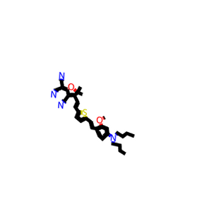 CCCCN(CCCC)c1ccc(C=Cc2ccc(C=CC3=C(C#N)C(=C(C#N)C#N)OC3(C)C)s2)c(OC)c1